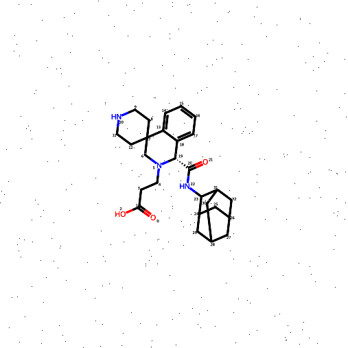 O=C(O)CCN1CC2(CCNCC2)c2ccccc2[C@@H]1C(=O)NC1C2CC3CC(C2)CC1C3